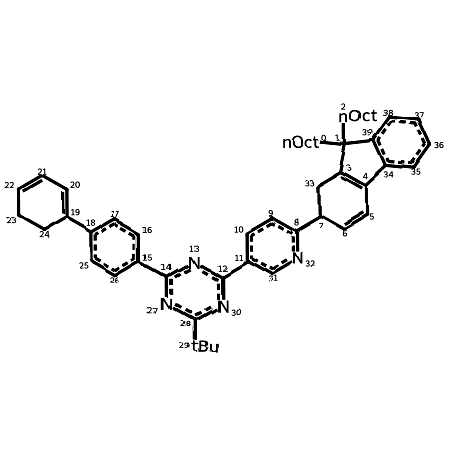 CCCCCCCCC1(CCCCCCCC)C2=C(C=CC(c3ccc(-c4nc(-c5ccc(C6=CC=CCC6)cc5)nc(C(C)(C)C)n4)cn3)C2)c2ccccc21